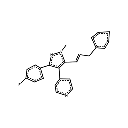 Cn1nc(-c2ccc(F)cc2)c(-c2ccncc2)c1C=CCc1ccccc1